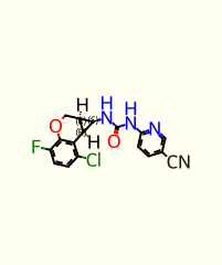 N#Cc1ccc(NC(=O)N[C@@H]2[C@@H]3COc4c(F)ccc(Cl)c4[C@@H]32)nc1